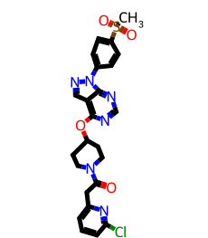 CS(=O)(=O)c1ccc(-n2ncc3c(OC4CCN(C(=O)Cc5cccc(Cl)n5)CC4)ncnc32)cc1